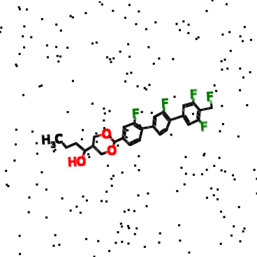 CCCC(O)C1COC(c2ccc(-c3ccc(-c4cc(F)c(CF)c(F)c4)c(F)c3)c(F)c2)OC1